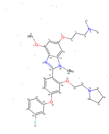 [CH2]CCOc1cc(OCCCN(C)C)cc2c1nc(-c1ccc(Oc3cccc(F)c3)cc1OCCN1CCCC1)n2CCCC